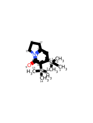 C[Si](C)(C)c1cc2n(c(=O)c1[Si](C)(C)C)CCC2